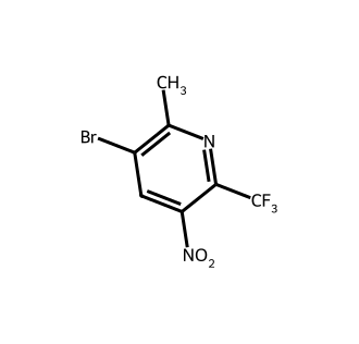 Cc1nc(C(F)(F)F)c([N+](=O)[O-])cc1Br